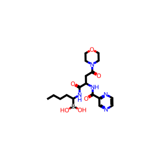 CCCCC(NC(=O)C(CC(=O)N1CCOCC1)NC(=O)c1cnccn1)B(O)O